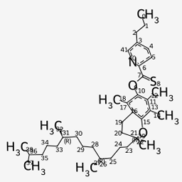 CCCc1ccc(C(=S)Oc2c(C)c(C)c3c(c2C)CC[C@@](C)(CCC[C@H](C)CCC[C@H](C)CCCC(C)C)O3)nc1